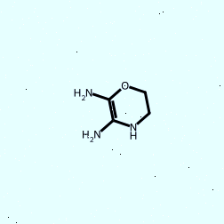 NC1=C(N)OCCN1